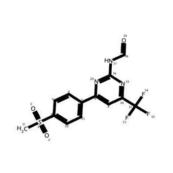 CS(=O)(=O)c1ccc(-c2cc(C(F)(F)F)nc(NC=O)n2)cc1